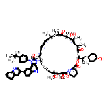 CO[C@H]1C(=O)[C@H](C)C[C@H](C)/C=C/C=C/C=C(/C)[C@@H](n2c(=O)n(-c3ccc(C(C)(C)C#N)cc3)c3c4cc(-c5cnc6ccccc6c5)ccc4ncc32)CCCC[C@@H](C)[C@@](O)(N=O)C(=O)C(=O)N2CCCC[C@H]2C(=O)O[C@H](C(C)C[C@H]2CC[C@@H](O)CC2)CC(=O)[C@H](C)/C=C(\C)[C@H]1O